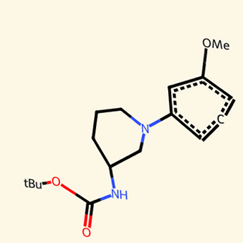 COc1cccc(N2CCCC(NC(=O)OC(C)(C)C)C2)c1